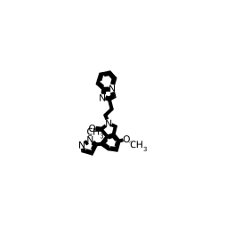 COc1ccc(-c2ccnn2C)c2c1CN(CCc1cn3ccccc3n1)C2=O